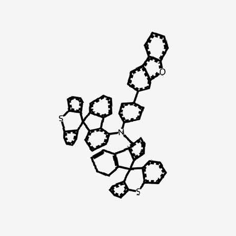 C1=CC2=C(CC1)C1(c3ccccc3Sc3ccccc31)c1cccc(N(c3ccc(-c4ccc5c(c4)oc4ccccc45)cc3)c3cccc4c3-c3ccccc3C43c4ccccc4Sc4ccccc43)c12